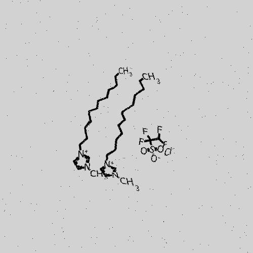 CCCCCCCCCCCC[n+]1ccn(C)c1.CCCCCCCCCCCC[n+]1ccn(C)c1.O=S(=O)([O-])C(F)(F)C(F)F.[Cl-]